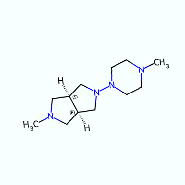 CN1CCN(N2C[C@H]3CN(C)C[C@H]3C2)CC1